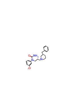 COc1cccc(N(CCCN2CCCC(Cc3ccccc3)C2)C(N)=O)c1